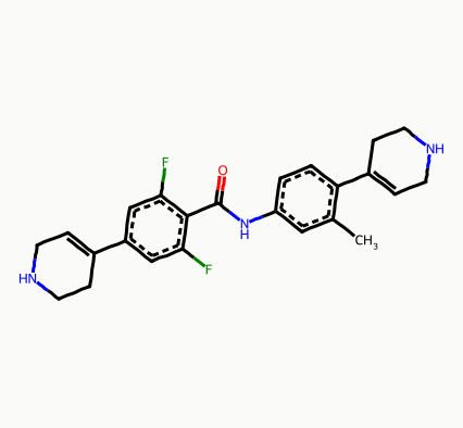 Cc1cc(NC(=O)c2c(F)cc(C3=CCNCC3)cc2F)ccc1C1=CCNCC1